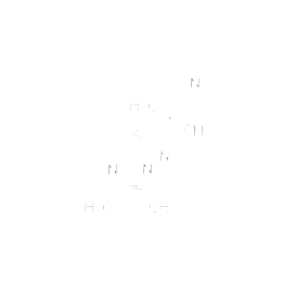 Cc1nc2sc(C(C)(C)C#N)nn2c1C